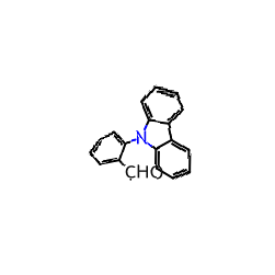 O=[C]c1ccccc1-n1c2ccccc2c2ccccc21